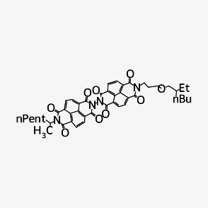 CCCCCC(C)N1C(=O)c2ccc3c4c(ccc(c24)C1=O)C(=O)N(N1C(=O)c2ccc4c5c(ccc(c25)C1=O)C(=O)N(CCCOCC(CC)CCCC)C4=O)C3=O